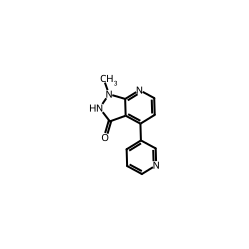 Cn1[nH]c(=O)c2c(-c3cccnc3)ccnc21